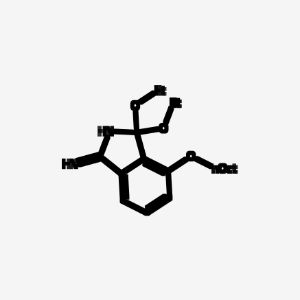 CCCCCCCCOc1cccc2c1C(OCC)(OCC)NC2=N